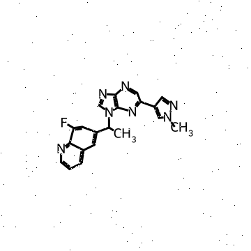 CC(c1cc(F)c2ncccc2c1)n1cnc2ncc(-c3cnn(C)c3)nc21